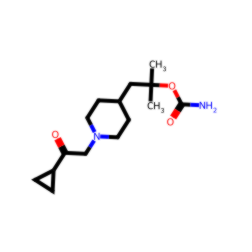 CC(C)(CC1CCN(CC(=O)C2CC2)CC1)OC(N)=O